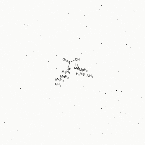 O=C(O)O.[AlH3].[AlH3].[MgH2].[MgH2].[MgH2].[MgH2].[MgH2].[MgH2]